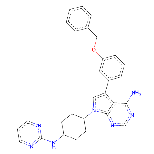 Nc1ncnc2c1c(-c1cccc(OCc3ccccc3)c1)cn2C1CCC(Nc2ncccn2)CC1